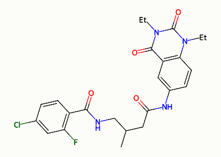 CCn1c(=O)c2cc(NC(=O)CC(C)CNC(=O)c3ccc(Cl)cc3F)ccc2n(CC)c1=O